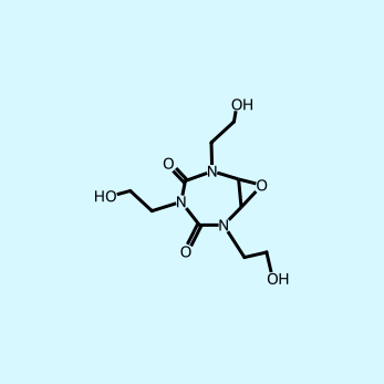 O=C1N(CCO)C(=O)N(CCO)C2OC2N1CCO